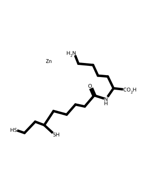 NCCCCC(NC(=O)CCCCC(S)CCS)C(=O)O.[Zn]